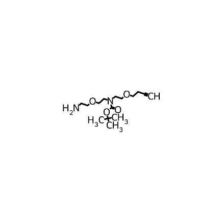 C#CCCOCCN(CCOCCN)C(=O)OC(C)(C)C